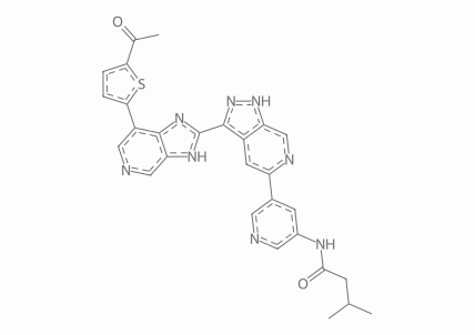 CC(=O)c1ccc(-c2cncc3[nH]c(-c4n[nH]c5cnc(-c6cncc(NC(=O)CC(C)C)c6)cc45)nc23)s1